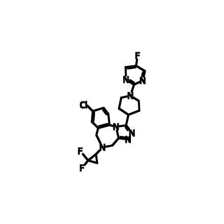 Fc1cnc(N2CCC(c3nnc4n3-c3ccc(Cl)cc3CN(C3CC3(F)F)C4)CC2)nc1